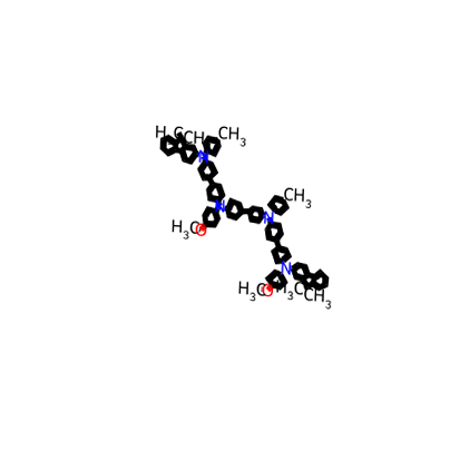 COc1ccc(N(c2ccc(-c3ccc(N(c4ccc(C)cc4)c4ccc(-c5ccc(N(c6ccc(OC)cc6)c6ccc7c(c6)C(C)(C)c6ccccc6-7)cc5)cc4)cc3)cc2)c2ccc(-c3ccc(N(c4ccc(C)cc4)c4ccc5c(c4)C(C)(C)c4ccccc4-5)cc3)cc2)cc1